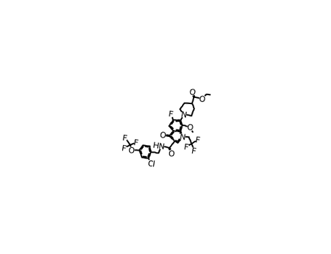 CCOC(=O)C1CCN(c2c(F)cc3c(=O)c(C(=O)NCc4ccc(OC(F)(F)F)cc4Cl)cn(CC(F)(F)F)c3c2OC)CC1